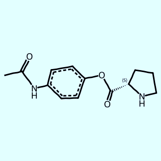 CC(=O)Nc1ccc(OC(=O)[C@@H]2CCCN2)cc1